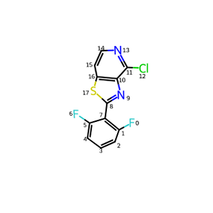 Fc1cccc(F)c1-c1nc2c(Cl)nccc2s1